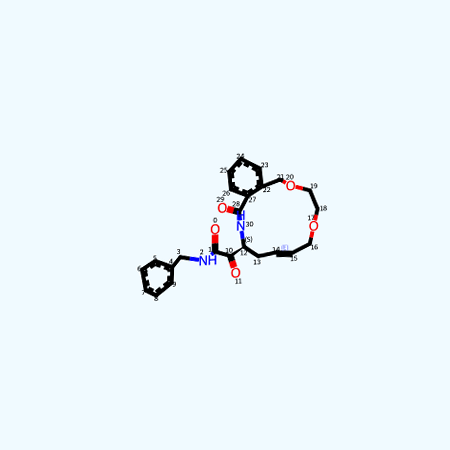 O=C(NCc1ccccc1)C(=O)[C@@H]1C/C=C/COCCOCc2ccccc2C(=O)N1